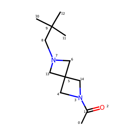 CC(=O)N1CC2(CN(CC(C)(C)C)C2)C1